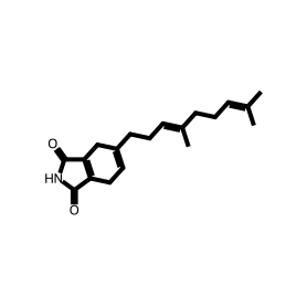 CC(C)=CCC/C(C)=C/CCC1=CCC2=C(C1)C(=O)NC2=O